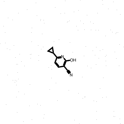 N#Cc1ccc(C2CC2)nc1O